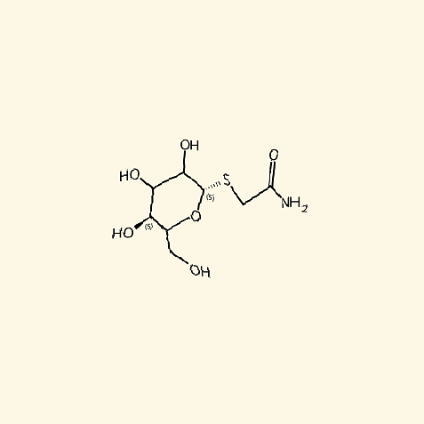 NC(=O)CS[C@@H]1OC(CO)[C@@H](O)C(O)C1O